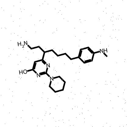 CNc1ccc(CCCCC(CCN)c2cc(O)nc(N3CCCCC3)n2)cc1